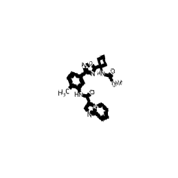 COC(=O)NC1(c2nc(-c3ccc(C)c(NC(=O)c4cnc5ccccn45)c3)no2)CCC1